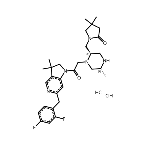 C[C@@H]1CN(CC(=O)N2CC(C)(C)c3cnc(Cc4ccc(F)cc4F)cc32)[C@@H](CN2CC(C)(C)CC2=O)CN1.Cl.Cl